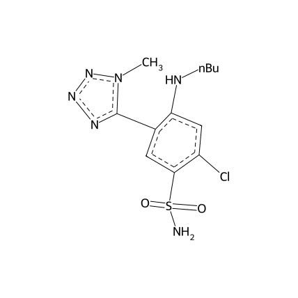 CCCCNc1cc(Cl)c(S(N)(=O)=O)cc1-c1nnnn1C